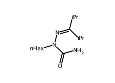 CCCCCCN(N=C(C(C)C)C(C)C)C(N)=O